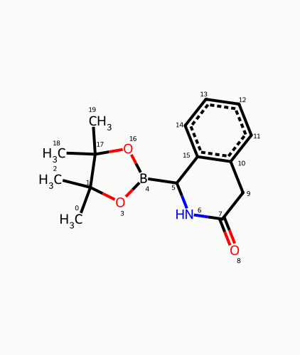 CC1(C)OB(C2NC(=O)Cc3ccccc32)OC1(C)C